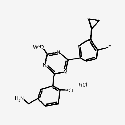 COc1nc(-c2ccc(F)c(C3CC3)c2)nc(-c2cc(CN)ccc2Cl)n1.Cl